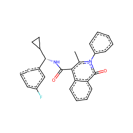 Cc1c(C(=O)N[C@H](c2cccc(F)c2)C2CC2)c2ccccc2c(=O)n1-c1ccccc1